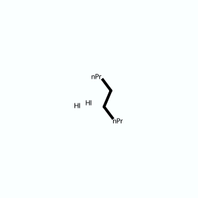 CCCCCCCC.I.I